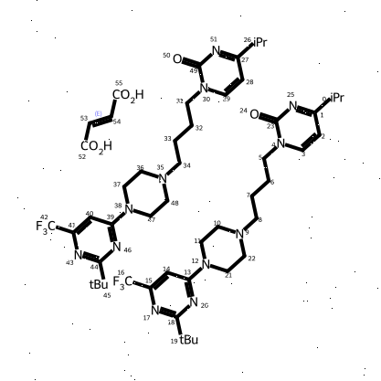 CC(C)c1ccn(CCCCN2CCN(c3cc(C(F)(F)F)nc(C(C)(C)C)n3)CC2)c(=O)n1.CC(C)c1ccn(CCCCN2CCN(c3cc(C(F)(F)F)nc(C(C)(C)C)n3)CC2)c(=O)n1.O=C(O)/C=C/C(=O)O